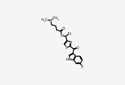 CCC(OC(=O)CCCN(C)C)c1csc(C(=O)c2c[nH]c3cc(F)ccc23)n1